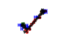 CC(C)C(=O)CCC(NC(=O)c1ccc(C2(C(F)(F)F)NN2)cc1)C(=O)NCCCOCCOCCOCCCNC(=O)CCCCC1SC[C@@H]2NC(=O)N[C@H]12